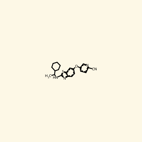 CC(Nc1nc2ccc(Oc3ccc(C#N)nc3)cc2s1)C1CCCCC1